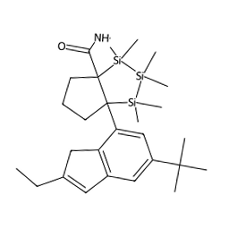 CCC1=Cc2cc(C(C)(C)C)cc(C34CCCC3(C([NH])=O)[Si](C)(C)[Si](C)(C)[Si]4(C)C)c2C1